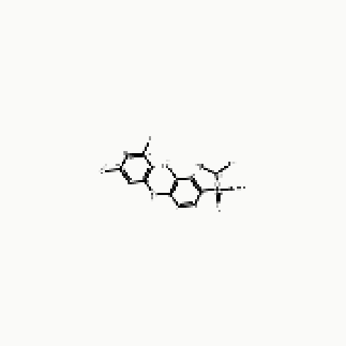 CN[SH](=O)(c1ccc(Oc2cc(F)cc(Cl)c2)c(Br)c1)C(F)F